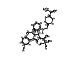 CC(=O)N1CCN(CCC[C@@]2(c3ccccc3)[C@@H]3COc4ccc(F)cc4C3=NN2C(=O)C(F)(F)F)CC1